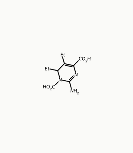 CCC1=C(C(=O)O)N=C(N)N(C(=O)O)C1CC